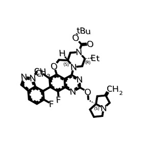 C=C1CN2CCC[C@@]2(COc2nc3c4c(c(Cl)c(-c5c(F)ccc6cnn(C)c56)c(F)c4n2)OC[C@@H]2CN(C(=O)OC(C)(C)C)[C@H](CC)CN32)C1